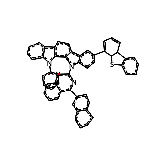 C1=CC2c3ccccc3SC2C(c2ccc3c(c2)c2ccc4c5ccccc5n(-c5ccccc5)c4c2n3-c2nc(-c3ccc4ccccc4c3)c3ccccc3n2)=C1